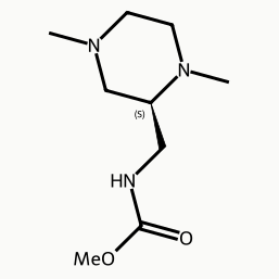 COC(=O)NC[C@H]1CN(C)CCN1C